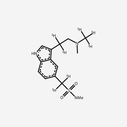 [2H]C([2H])(CN(C)C([2H])([2H])[2H])c1c[nH]c2ccc(C([2H])([2H])S(=O)(=O)NC)cc12